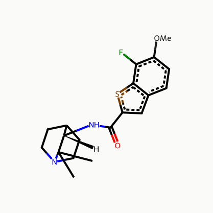 COc1ccc2cc(C(=O)N[C@H]3C4CCN(CC4)C3(C)C)sc2c1F